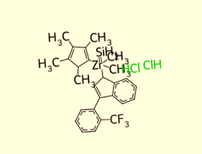 CC1=C(C)C(C)[C]([Zr]([CH3])([CH3])(=[SiH2])[CH]2C=C(c3ccccc3C(F)(F)F)c3ccccc32)=C1C.Cl.Cl